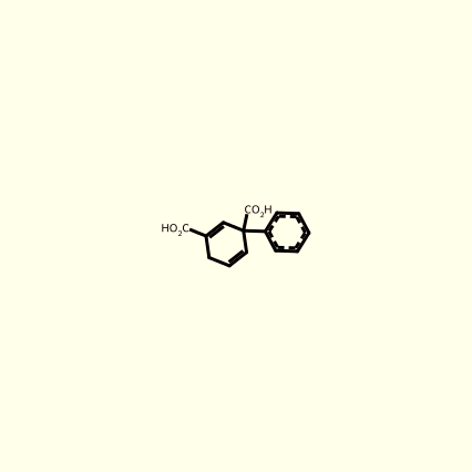 O=C(O)C1=CC(C(=O)O)(c2ccccc2)C=CC1